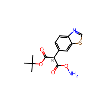 CC(C)(C)OC(=O)[C@H](C(=O)ON)c1ccc2ncsc2c1